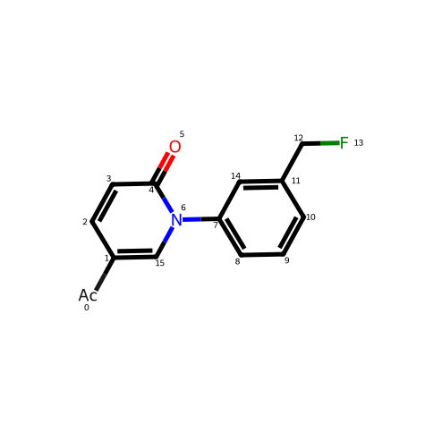 CC(=O)c1ccc(=O)n(-c2cccc(CF)c2)c1